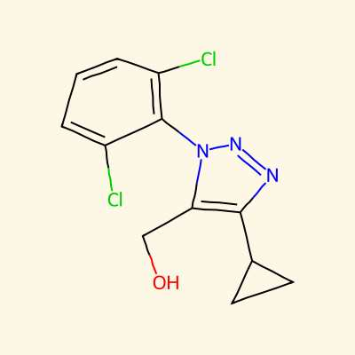 OCc1c(C2CC2)nnn1-c1c(Cl)cccc1Cl